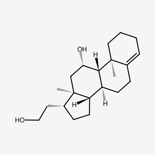 C[C@]12C[C@H](O)[C@H]3[C@@H](CCC4=CCCC[C@@]43C)[C@@H]1CC[C@@H]2CCO